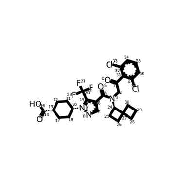 O=C(CN(C(=O)c1cnn([C@H]2CC[C@@H](C(=O)O)CC2)c1C(F)(F)F)[C@@H]1CCC12CCC2)c1c(Cl)cccc1Cl